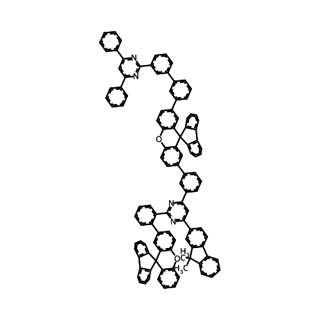 CC1(C)c2ccccc2-c2ccc(-c3cc(-c4cccc(-c5ccc6c(c5)C5(c7cc(-c8cccc(-c9cccc(-c%10nc(-c%11ccccc%11)cc(-c%11ccccc%11)n%10)c9)c8)ccc7O6)c6ccccc6-c6ccccc65)c4)nc(-c4ccccc4-c4ccc5c(c4)C4(c6ccccc6O5)c5ccccc5-c5ccccc54)n3)cc21